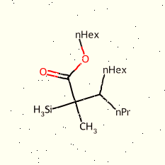 CCCCCCOC(=O)C(C)([SiH3])C(CCC)CCCCCC